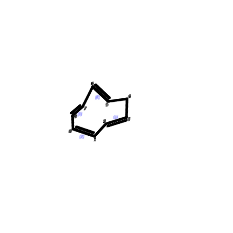 C1=C\C=C\C/C=C/C=C/1